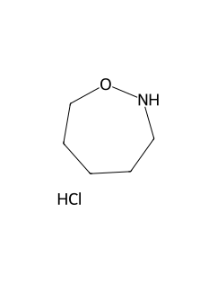 C1CCNOCC1.Cl